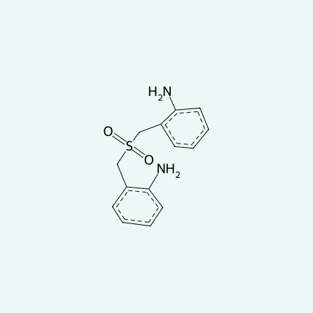 Nc1ccccc1CS(=O)(=O)Cc1ccccc1N